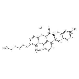 CCCCCCCCCCCCCCOc1ccc(COC(=O)N(Cc2ccc[n+](CCC)c2)C(=O)c2ccccc2)cc1OC.[I-]